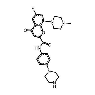 CN1CCN(c2cc(F)cc3c(=O)cc(C(=O)Nc4ccc(N5CCNCC5)cc4)oc23)CC1